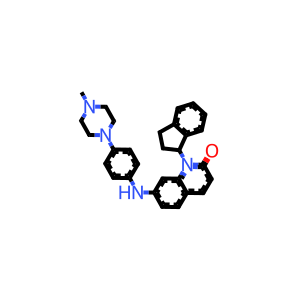 CN1CCN(c2ccc(Nc3ccc4ccc(=O)n(C5CCc6ccccc65)c4c3)cc2)CC1